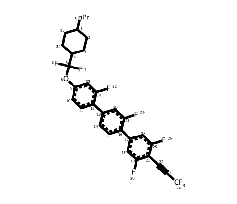 CCCC1CCC(C(F)(F)Oc2ccc(-c3ccc(-c4cc(F)c(C#CC(F)(F)F)c(F)c4)c(F)c3)c(F)c2)CC1